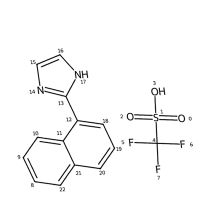 O=S(=O)(O)C(F)(F)F.c1ccc2c(-c3ncc[nH]3)cccc2c1